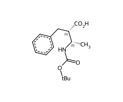 C[C@H](NC(=O)OC(C)(C)C)[C@H](Cc1ccccc1)C(=O)O